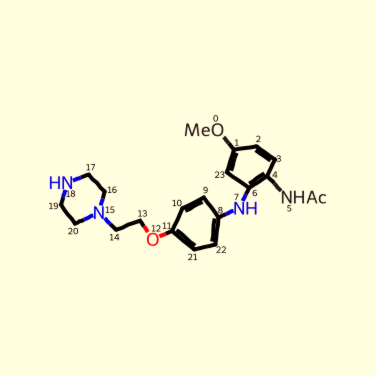 COc1ccc(NC(C)=O)c(Nc2ccc(OCCN3CCNCC3)cc2)c1